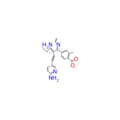 C=C/N=C(\C(C#Cc1ccc(N)nc1)=C(/N)CC)c1ccc(C(=O)OC)c(C)c1